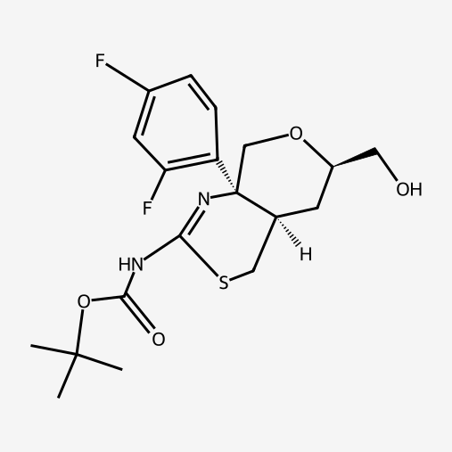 CC(C)(C)OC(=O)NC1=N[C@@]2(c3ccc(F)cc3F)CO[C@@H](CO)C[C@H]2CS1